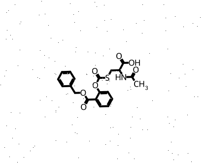 CC(=O)NC(CSC(=O)Oc1ccccc1C(=O)OCc1ccccc1)C(=O)O